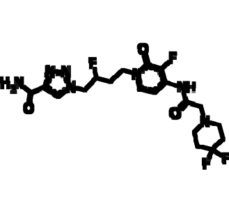 NC(=O)c1cn(CC(F)CCn2ccc(NC(=O)CN3CCC(F)(F)CC3)c(F)c2=O)nn1